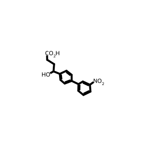 O=C(O)CCC(O)c1ccc(-c2cccc([N+](=O)[O-])c2)cc1